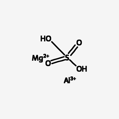 O=S(=O)(O)O.[Al+3].[Mg+2]